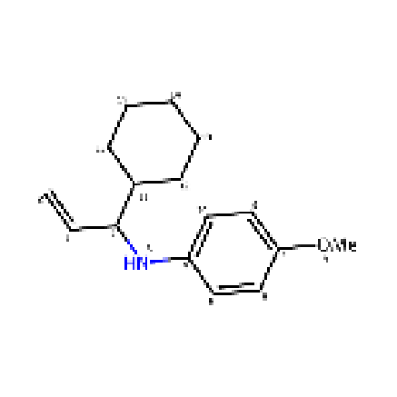 C=CC(Nc1ccc(OC)cc1)C1CCCCC1